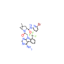 CC12CC(C(=O)Nc3cccc(Br)n3)N(C(=O)Cn3c4ncnc(N)c4c4cccc(C(F)(F)F)c43)C1C2